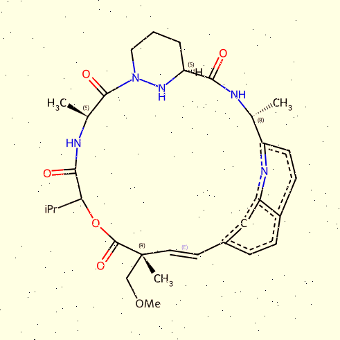 COC[C@@]1(C)/C=C/c2ccc3ccc(nc3c2)[C@@H](C)NC(=O)[C@@H]2CCCN(N2)C(=O)[C@H](C)NC(=O)C(C(C)C)OC1=O